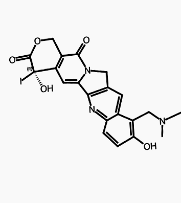 CN(C)Cc1c(O)ccc2nc3c(cc12)Cn1c-3cc2c(c1=O)COC(=O)[C@]2(O)I